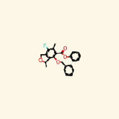 Cc1c(F)c2c(c(OCc3ccccc3)c1C(=O)Oc1ccccc1)C(C)OC2